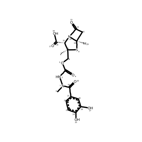 CN(NC(=O)OC[C@]1(C)S[C@@H]2CC(=O)N2[C@H]1C(=O)O)C(=O)c1ccc(O)c(O)c1